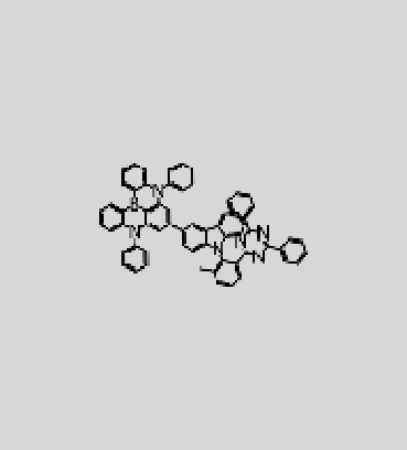 Cc1cccc(-c2nc(-c3ccccc3)nc(-c3ccccc3)n2)c1-n1c2ccccc2c2cc(-c3cc4c5c(c3)N(c3ccccc3)c3ccccc3B5c3ccccc3N4c3ccccc3)ccc21